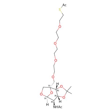 CC(=O)N[C@H]1[C@H]2OC[C@](COCCOCCOCCOCCSC(C)=O)(O2)[C@@H]2OC(C)(C)O[C@H]12